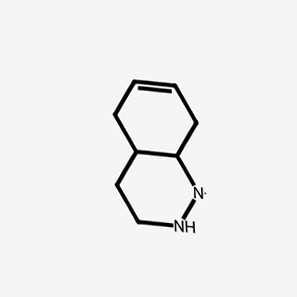 C1=CCC2[N]NCCC2C1